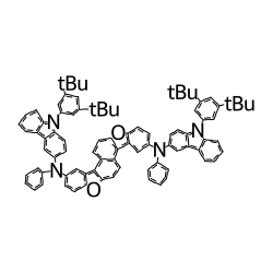 CC(C)(C)c1cc(-n2c3ccccc3c3cc(N(c4ccccc4)c4ccc5oc6ccc7c(ccc8oc9ccc(N(c%10ccccc%10)c%10ccc%11c(c%10)c%10ccccc%10n%11-c%10cc(C(C)(C)C)cc(C(C)(C)C)c%10)cc9c87)c6c5c4)ccc32)cc(C(C)(C)C)c1